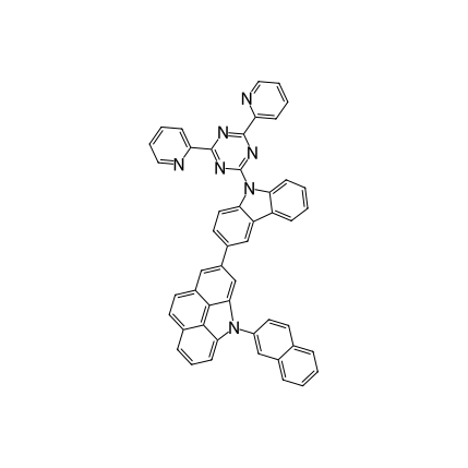 c1ccc(-c2nc(-c3ccccn3)nc(-n3c4ccccc4c4cc(-c5cc6ccc7cccc8c7c6c(c5)n8-c5ccc6ccccc6c5)ccc43)n2)nc1